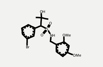 COc1ccc(CNS(=O)(=O)C(c2cccc(Br)c2)C(C)(C)O)c(OC)c1